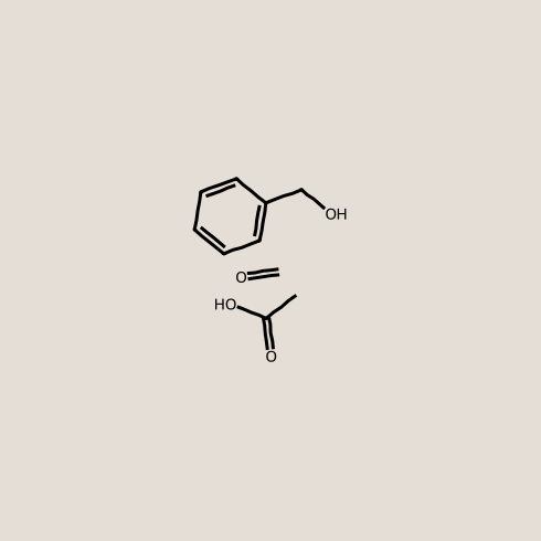 C=O.CC(=O)O.OCc1ccccc1